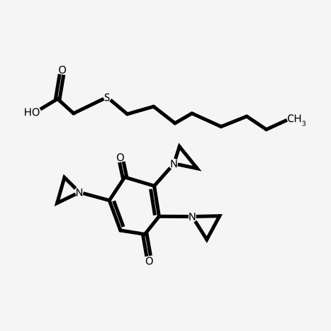 CCCCCCCCSCC(=O)O.O=C1C=C(N2CC2)C(=O)C(N2CC2)=C1N1CC1